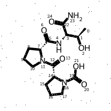 C[C@@H](O)[C@H](NC(=O)[C@H]1CCCN1C(=O)[C@H]1CCCN1C(=O)O)C(N)=O